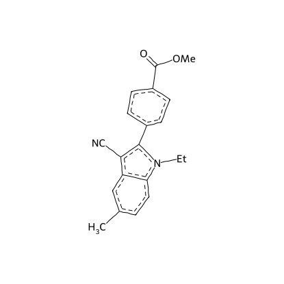 CCn1c(-c2ccc(C(=O)OC)cc2)c(C#N)c2cc(C)ccc21